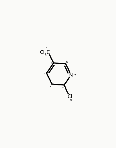 ClC1CC=C(C(Cl)(Cl)Cl)C=N1